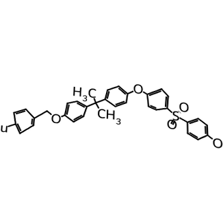 CCCCc1ccc(COc2ccc(C(C)(C)c3ccc(Oc4ccc(S(=O)(=O)c5ccc(OC)cc5)cc4)cc3)cc2)cc1